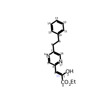 CCOC(=O)/C(O)=C/c1cnc(CCc2ccccc2)cn1